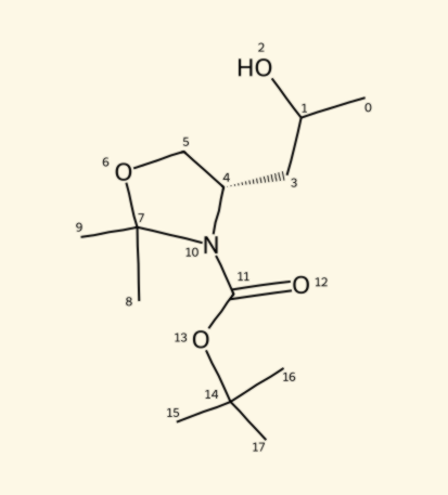 CC(O)C[C@H]1COC(C)(C)N1C(=O)OC(C)(C)C